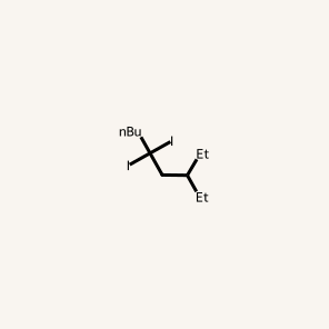 CCCCC(I)(I)CC(CC)CC